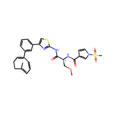 COC[C@H](NC(=O)c1ccn(S(C)(=O)=O)c1)C(=O)Nc1nc(-c2cccc(C3=C/CC/C(C)=C/C=C\3)c2)cs1